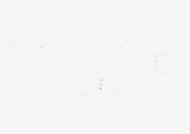 C=CC(=O)O.CCCCCCCCCCCCn1ccnc1C